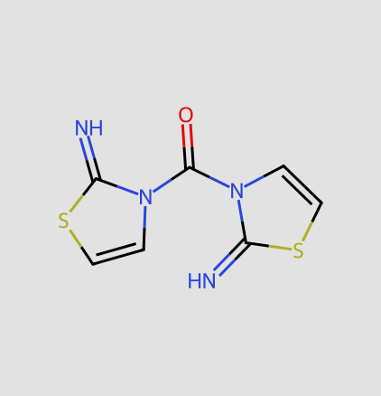 N=c1sccn1C(=O)n1ccsc1=N